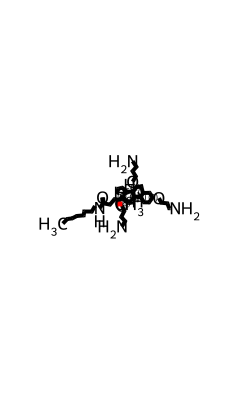 CCCCCCCCNC(=O)CC[C@@H](C)[C@@]12CCC[C@H]1C1[C@H](OCCCN)CC3C[C@H](OCCCN)CC[C@]3(C)[C@H]1C[C@@H]2OCCCN